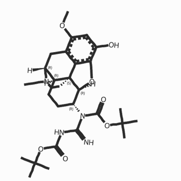 COc1cc(O)c2c3c1C[C@@H]1[C@@H]4CC[C@@H](N(C(=N)NC(=O)OC(C)(C)C)C(=O)OC(C)(C)C)[C@H](O2)[C@]34CCN1C